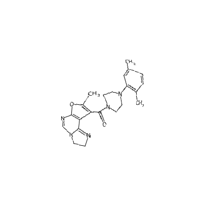 Cc1ccc(C)c(N2CCN(C(=O)c3c(C)oc4c3C3=NCCN3C=N4)CC2)c1